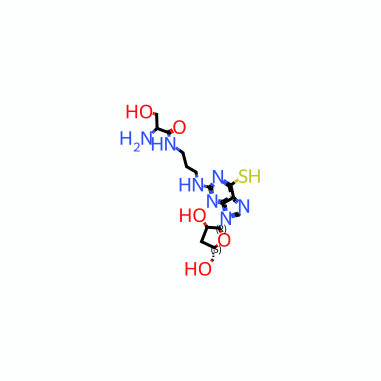 NC(CO)C(=O)NCCCNc1nc(S)c2ncn([C@@H]3O[C@H](CO)CC3O)c2n1